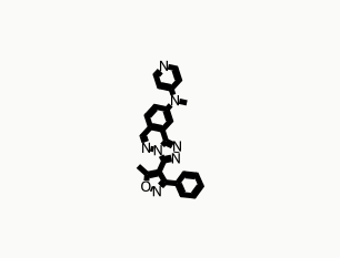 Cc1onc(-c2ccccc2)c1-c1nnc2c3cc(N(C)c4ccncc4)ccc3cnn12